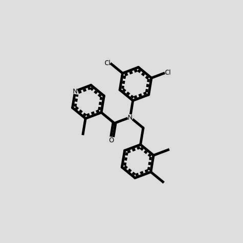 Cc1cnccc1C(=O)N(Cc1cccc(C)c1C)c1cc(Cl)cc(Cl)c1